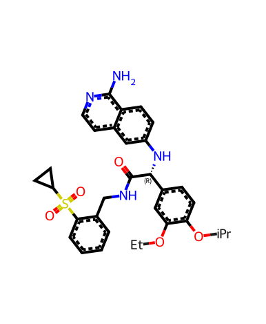 CCOc1cc([C@@H](Nc2ccc3c(N)nccc3c2)C(=O)NCc2ccccc2S(=O)(=O)C2CC2)ccc1OC(C)C